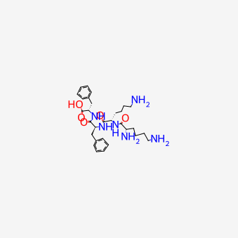 NCCCC[C@H](NC(=O)[C@@H](N)CCCCN)C(=O)N[C@@H](Cc1ccccc1)C(=O)N[C@@H](Cc1ccccc1)C(=O)O